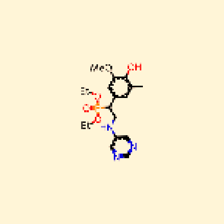 CCOP(=O)(OCC)C(CNc1cncnc1)c1cc(C)c(O)c(OC)c1